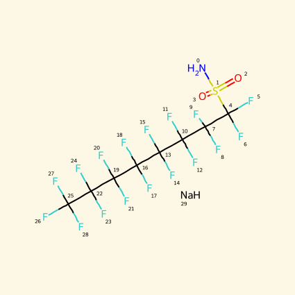 NS(=O)(=O)C(F)(F)C(F)(F)C(F)(F)C(F)(F)C(F)(F)C(F)(F)C(F)(F)C(F)(F)F.[NaH]